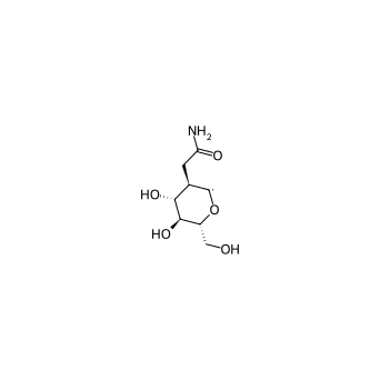 NC(=O)C[C@H]1[CH]O[C@H](CO)[C@@H](O)[C@@H]1O